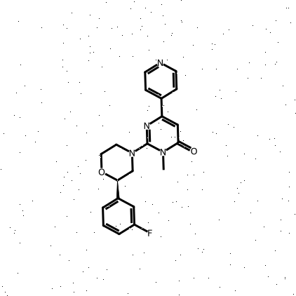 Cn1c(N2CCO[C@H](c3cccc(F)c3)C2)nc(-c2ccncc2)cc1=O